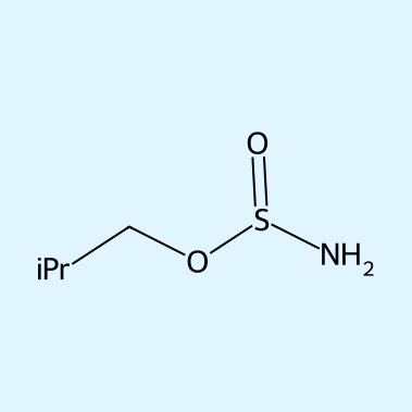 CC(C)COS(N)=O